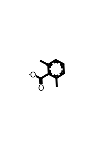 Cc1cccc(C)c1C([O])=O